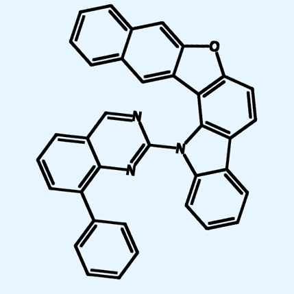 c1ccc(-c2cccc3cnc(-n4c5ccccc5c5ccc6oc7cc8ccccc8cc7c6c54)nc23)cc1